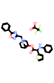 O=C(OC1C[N+]2(Cc3noc(-c4ccccc4)n3)CCC1CC2)C(Nc1ccccc1)c1cccs1.O=C([O-])C(F)(F)F